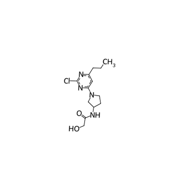 CCCc1cc(N2CCC(NC(=O)CO)C2)nc(Cl)n1